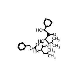 CC(C)CC(NC(=O)OCc1ccccc1)C(=O)N[C@@H](C(C)C)C(O)c1c(C(O)c2ccccc2)c1=O